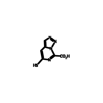 O=C(O)c1nc(S)cc2cnnn12